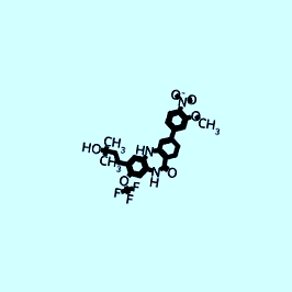 COc1cc(C2=CC3=C(CC2)C(=O)Nc2cc(OC(F)(F)F)c(CCC(C)(C)O)cc2N3)ccc1[N+](=O)[O-]